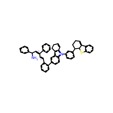 NC(/C=C(\C=C\c1ccccc1-c1ccc2c(c1)c1c(n2-c2cccc(C3CCC=C4c5ccccc5SC43)c2)C=CCC1)c1ccccc1)c1ccccc1